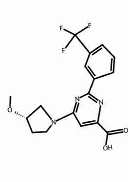 CO[C@H]1CCN(c2cc(C(=O)O)nc(-c3cccc(C(F)(F)F)c3)n2)C1